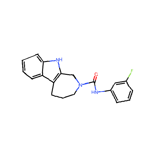 O=C(Nc1cccc(F)c1)N1CCCc2c([nH]c3ccccc23)C1